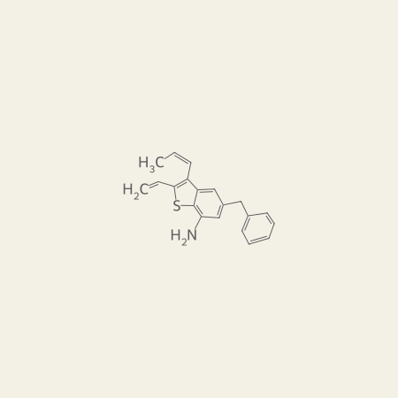 C=Cc1sc2c(N)cc(Cc3ccccc3)cc2c1/C=C\C